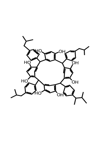 CC(C)Cc1ccc(C2c3cc(c(O)cc3O)C(c3ccc(CC(C)C)cc3)c3cc(c(O)cc3O)C(c3ccc(C(C)C(C)C)cc3)c3cc(c(O)cc3O)C(c3ccc(CC(C)C)cc3)c3cc2c(O)cc3O)cc1